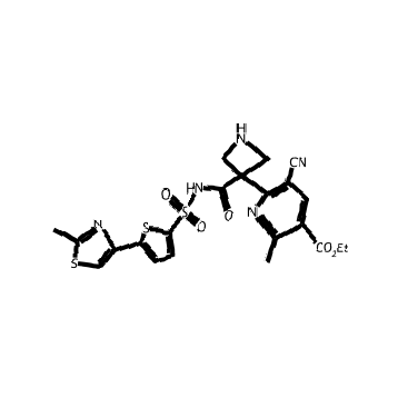 CCOC(=O)c1cc(C#N)c(C2(C(=O)NS(=O)(=O)c3ccc(-c4csc(C)n4)s3)CNC2)nc1C